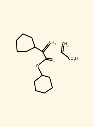 C=C(C(=O)OC1CCCCC1)C1CCCCC1.C=CC(=O)O